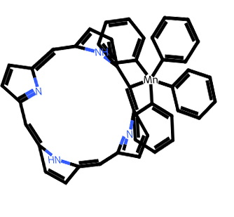 C1=Cc2cc3ccc([nH]3)[c]([Mn]([c]3ccccc3)([c]3ccccc3)([c]3ccccc3)[c]3ccccc3)c3nc(cc4ccc(cc1n2)[nH]4)C=C3